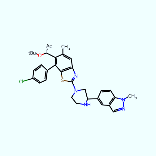 CC(=O)[C@@H](OC(C)(C)C)c1c(C)cc2nc(N3CCNC(c4ccc5c(cnn5C)c4)C3)sc2c1-c1ccc(Cl)cc1